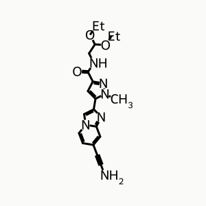 CCOC(CNC(=O)c1cc(-c2cn3ccc(C#CN)cc3n2)n(C)n1)OCC